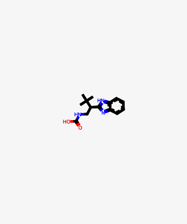 CC(C)(C)C(CNC(=O)O)c1nc2ccccc2[nH]1